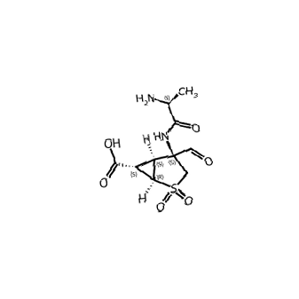 C[C@H](N)C(=O)N[C@@]1(C=O)CS(=O)(=O)[C@H]2[C@H](C(=O)O)[C@H]21